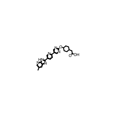 Cc1cnc2[nH]c(-c3ccc(-c4cnc(OC5CCC(CC(=O)O)CC5)nc4)nc3)nc2c1